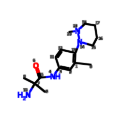 Cc1cc(NC(=O)C(C)(C)N)ccc1N1CCCCN1C